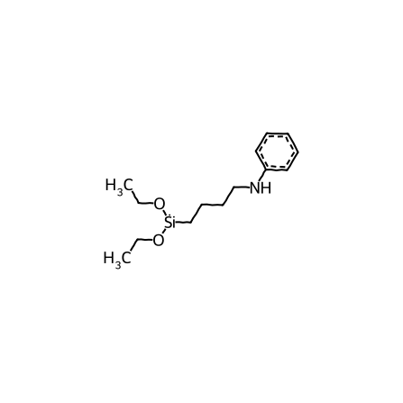 CCO[Si](CCCCNc1ccccc1)OCC